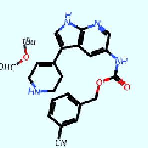 CC(C)(C)OC=O.N#Cc1cccc(COC(=O)Nc2cnc3[nH]cc(C4=CCNCC4)c3c2)c1